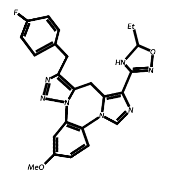 CCC1NC(c2ncn3c2Cc2c(Cc4ccc(F)cc4)nnn2-c2cc(OC)ccc2-3)=NO1